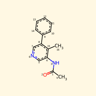 CC(=O)Nc1cn[c]c(-c2ccccc2)c1C